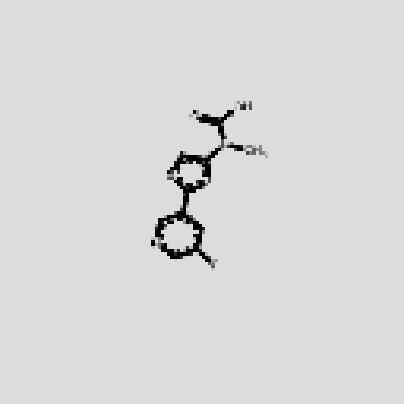 CN(C(=O)O)c1cnc(-c2cncc(F)c2)s1